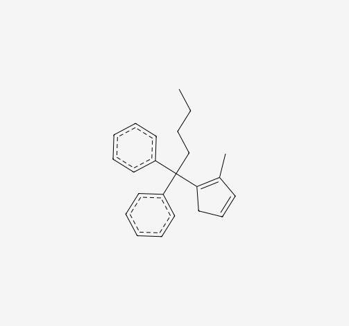 CCCCC(C1=C(C)C=CC1)(c1ccccc1)c1ccccc1